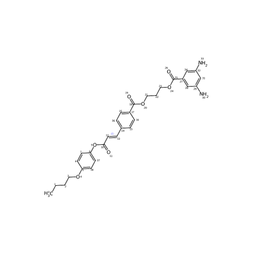 CCCCOc1ccc(OC(=O)/C=C/c2ccc(C(=O)OCCCOC(=O)c3cc(N)cc(N)c3)cc2)cc1